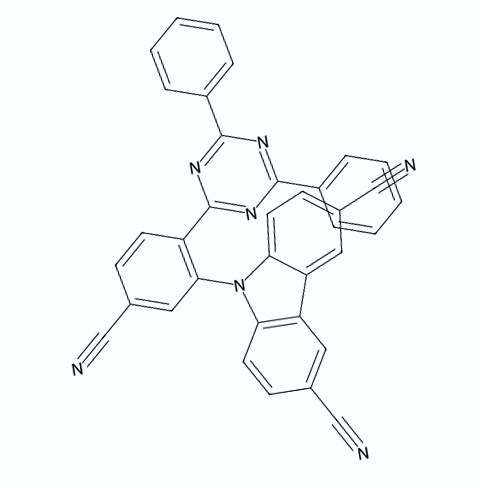 N#Cc1ccc(-c2nc(-c3ccccc3)nc(-c3ccccc3)n2)c(-n2c3ccc(C#N)cc3c3cc(C#N)ccc32)c1